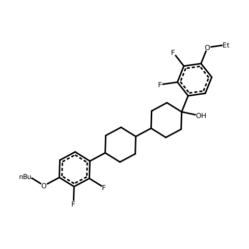 CCCCOc1ccc(C2CCC(C3CCC(O)(c4ccc(OCC)c(F)c4F)CC3)CC2)c(F)c1F